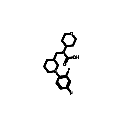 O=C(O)N(CC1CCCN(c2ccc(F)cc2F)C1)C1CCOCC1